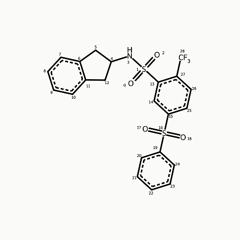 O=S(=O)(NC1Cc2ccccc2C1)c1cc(S(=O)(=O)c2ccccc2)ccc1C(F)(F)F